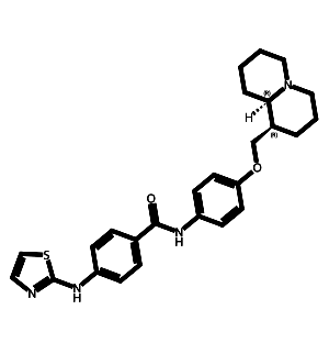 O=C(Nc1ccc(OC[C@@H]2CCCN3CCCC[C@H]23)cc1)c1ccc(Nc2nccs2)cc1